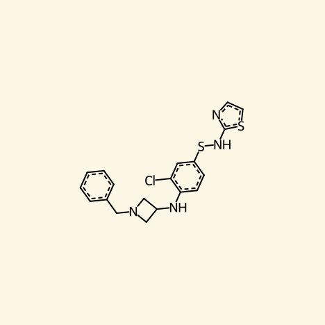 Clc1cc(SNc2nccs2)ccc1NC1CN(Cc2ccccc2)C1